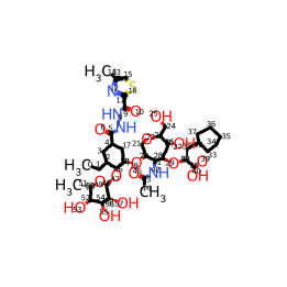 CCC1CC(C(=O)NNC(=O)c2nc(C)cs2)C[C@@H](OC2COC(CO)[C@H](O)C(O[C@@H](CC3CCCCC3)C(=O)O)C2NC(C)=O)C1OC1O[C@@H](C)C(O)C(O)[C@@H]1O